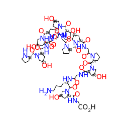 NCCCC[C@H](NC(=O)CNC(=O)[C@@H]1C[C@@H](O)CN1C(=O)[C@@H]1CCCN1C(=O)CNC(=O)[C@@H]1C[C@@H](O)CN1C(=O)[C@@H]1CCCN1C(=O)CNC(=O)[C@@H]1C[C@@H](O)CN1C(=O)[C@@H]1CCCN1C(=O)CNC(=O)[C@@H]1C[C@@H](O)CN1C(=O)[C@@H]1CCCN1C(=O)CNC(=O)[C@@H]1C[C@@H](O)CN1C(=O)[C@@H]1CCCN1)C(=O)N1C[C@H](O)C[C@H]1C(=O)NCC(=O)O